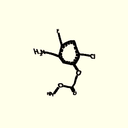 CCCOC(=O)Oc1cc(N)c(F)cc1Cl